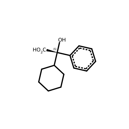 O=C(O)[C@@](O)(c1ccccc1)C1CCCCC1